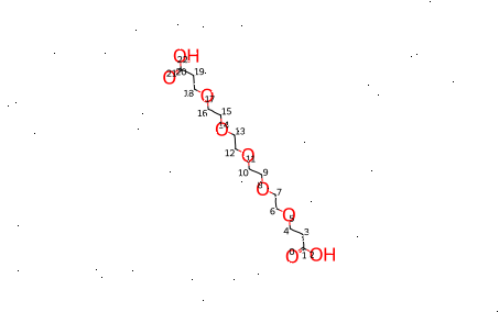 O=C(O)CCOCCOCCOCCOCCOCCC(=O)O